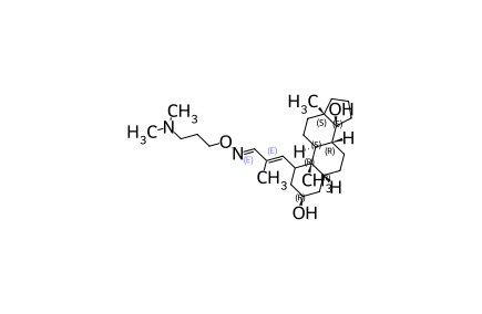 CC(/C=N/OCCCN(C)C)=C\C1C[C@H](O)C[C@H]2CC[C@@H]3[C@H](CC[C@]4(C)CCC[C@]34O)[C@@]12C